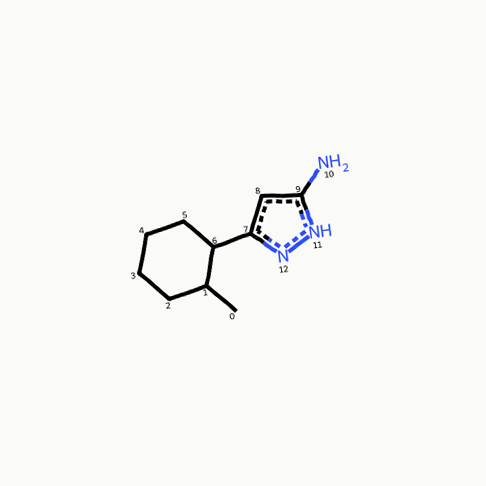 CC1CCCCC1c1cc(N)[nH]n1